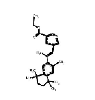 CCOC(=O)c1cncc(C=C(C)c2cc3c(cc2C)C(C)(C)CCC3(C)C)c1